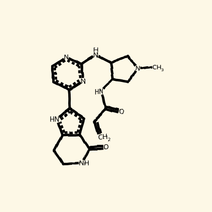 C=CC(=O)NC1CN(C)CC1Nc1nccc(-c2cc3c([nH]2)CCNC3=O)n1